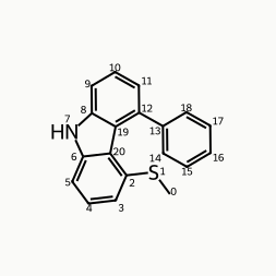 CSc1cccc2[nH]c3cccc(-c4ccccc4)c3c12